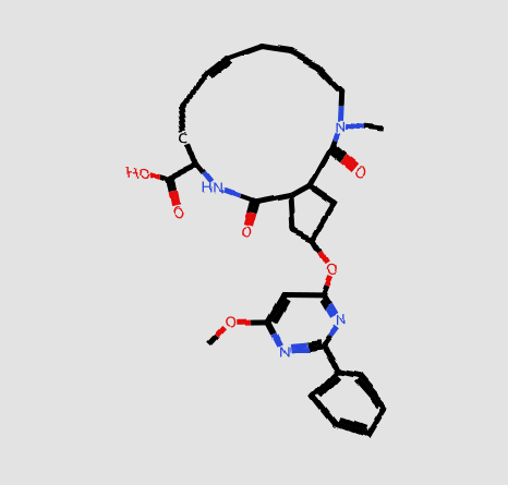 COc1cc(OC2CC3C(=O)NC(C(=O)O)CCC=CCCCCN(C)C(=O)C3C2)nc(-c2ccccc2)n1